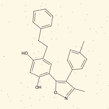 Cc1ccc(-c2c(C)noc2-c2cc(CCc3ccccc3)c(O)cc2O)cc1